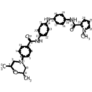 CC1CN(c2ccc(C(=O)Nc3ccc(Nc4ccc(NC(=O)c5cccn5C)cc4)cc3)cc2)CC(C)O1